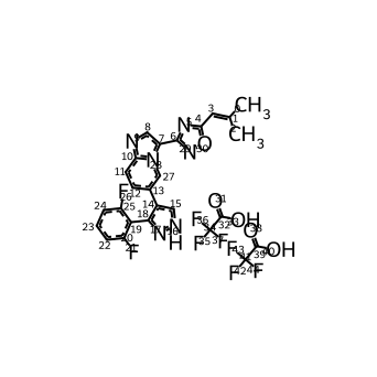 CC(C)=Cc1nc(-c2cnc3ccc(-c4c[nH]nc4-c4c(F)cccc4F)cn23)no1.O=C(O)C(F)(F)F.O=C(O)C(F)(F)F